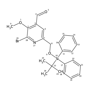 COc1c(C=O)cc(CO[Si](c2ccccc2)(c2ccccc2)C(C)(C)C)nc1Br